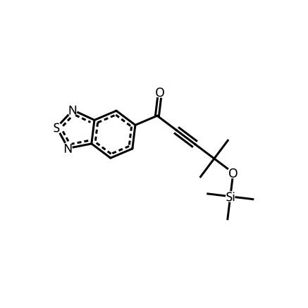 CC(C)(C#CC(=O)c1ccc2nsnc2c1)O[Si](C)(C)C